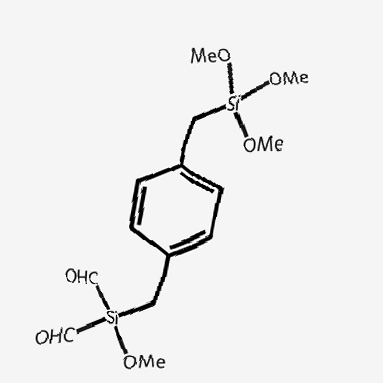 CO[Si](C=O)(C=O)Cc1ccc(C[Si](OC)(OC)OC)cc1